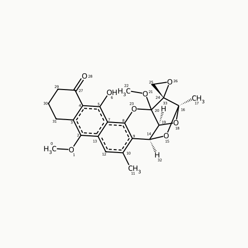 COc1c2c(c(O)c3c4c(c(C)cc13)[C@@H]1O[C@]3(C)O[C@@H]1C(OC)(O4)[C@@]31CO1)C(=O)CCC2